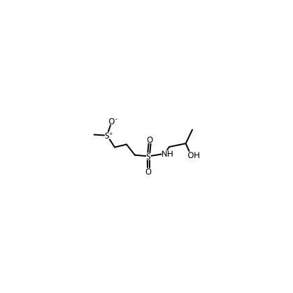 CC(O)CNS(=O)(=O)CCC[S+](C)[O-]